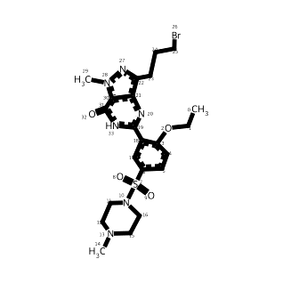 CCOc1ccc(S(=O)(=O)N2CCN(C)CC2)cc1-c1nc2c(CCCBr)nn(C)c2c(=O)[nH]1